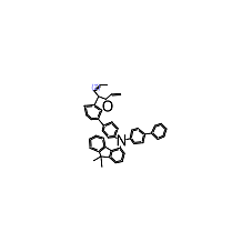 C=CC1Oc2c(-c3ccc(N(c4ccc(-c5ccccc5)cc4)c4cccc5c4-c4ccccc4C5(C)C)cc3)cccc2C1/C=C\C